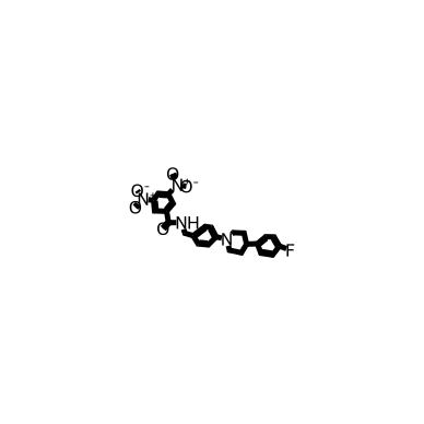 O=C(NCc1ccc(N2CCC(c3ccc(F)cc3)CC2)cc1)c1cc([N+](=O)[O-])cc([N+](=O)[O-])c1